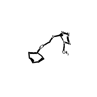 Cn1nnnc1SCOc1ccccc1